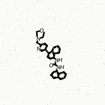 O=C(Nc1cccc2ccccc12)Nc1ccc(-c2ccc(CN3CCOCC3)nc2)c2ccccc12